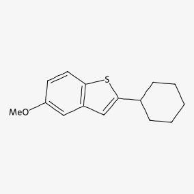 COc1ccc2sc(C3CCCCC3)cc2c1